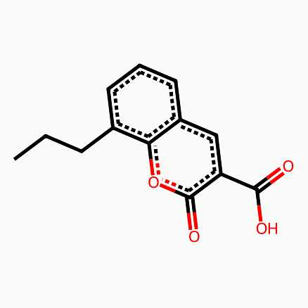 CCCc1cccc2cc(C(=O)O)c(=O)oc12